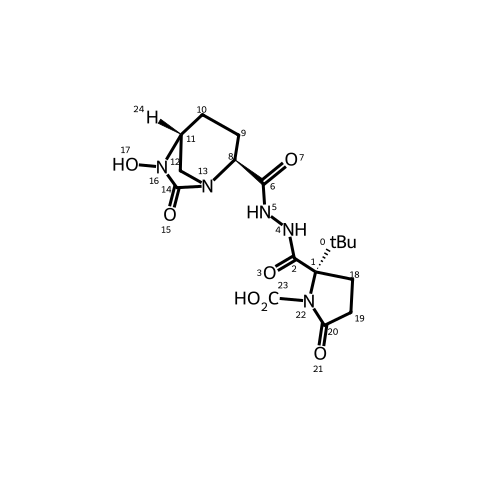 CC(C)(C)[C@]1(C(=O)NNC(=O)[C@@H]2CC[C@@H]3CN2C(=O)N3O)CCC(=O)N1C(=O)O